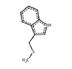 CSCc1c[nH]c2ccccc12